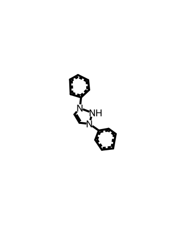 C1=CN(c2ccccc2)NN1c1ccccc1